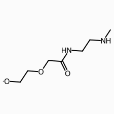 CNCCNC(=O)COCC[O]